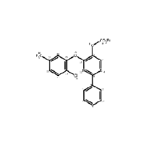 CCOC(=O)Oc1cnc(-c2ccccc2)nc1Oc1cc(C(F)(F)F)ccc1Cl